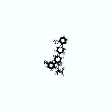 COc1ccccc1N1CCC(N2CCC3(CC2)CN(C(=O)N(C)C)c2ccc(F)cc23)CC1